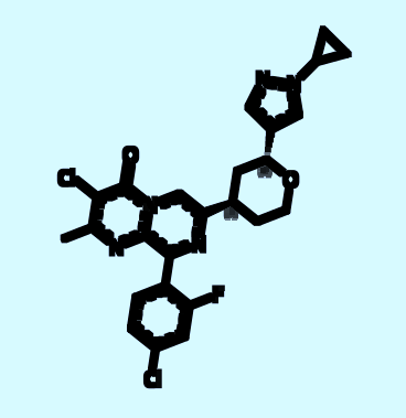 Cc1nc2c(-c3ccc(Cl)cc3F)nc([C@@H]3CCO[C@@H](c4cnn(C5CC5)c4)C3)cn2c(=O)c1Cl